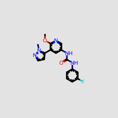 COc1ncc(NC(=O)Nc2cccc(F)c2)cc1-c1ccnn1C